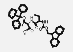 CCC(NC(=O)OCC1c2ccccc2-c2ccccc21)C(=O)N[C@H](C(=O)OC)[C@@H](C)OC(c1ccccc1)(c1ccccc1)c1ccccc1